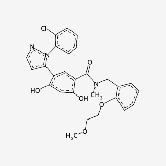 COCCOc1ccccc1CN(C)C(=O)c1cc(-c2ccnn2-c2ccccc2Cl)c(O)cc1O